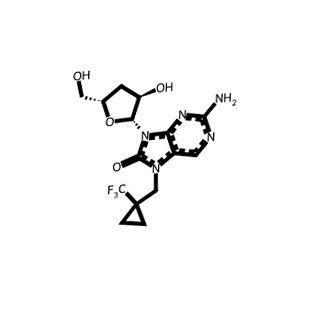 Nc1ncc2c(n1)n([C@@H]1O[C@H](CO)C[C@H]1O)c(=O)n2CC1(C(F)(F)F)CC1